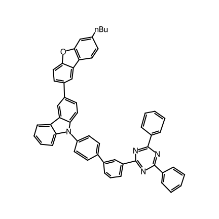 CCCCc1ccc2c(c1)oc1ccc(-c3ccc4c(c3)c3ccccc3n4-c3ccc(-c4cccc(-c5nc(-c6ccccc6)nc(-c6ccccc6)n5)c4)cc3)cc12